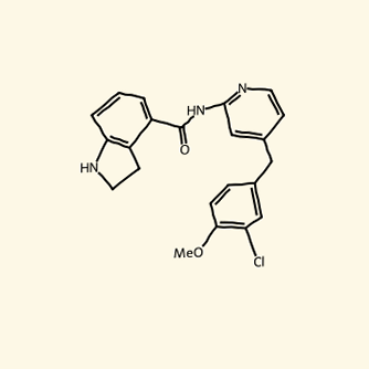 COc1ccc(Cc2ccnc(NC(=O)c3cccc4c3CCN4)c2)cc1Cl